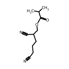 CC(C)C(=O)OCC(C#N)CCCC#N